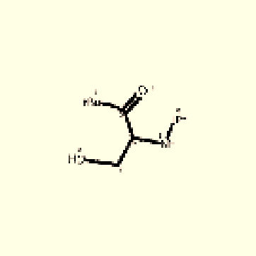 CC(C)NC(CO)C(=O)C(C)(C)C